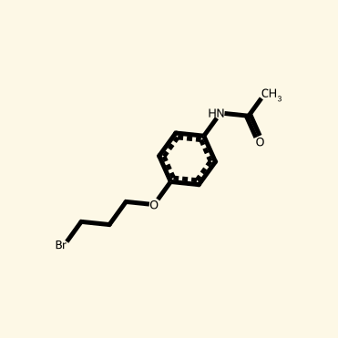 CC(=O)Nc1ccc(OCCCBr)cc1